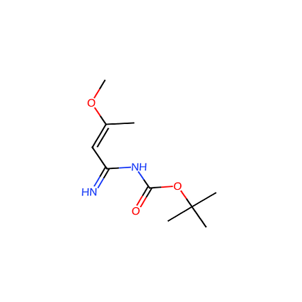 CO/C(C)=C/C(=N)NC(=O)OC(C)(C)C